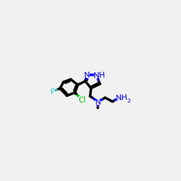 CN(CCN)Cc1c[nH]nc1-c1ccc(F)cc1Cl